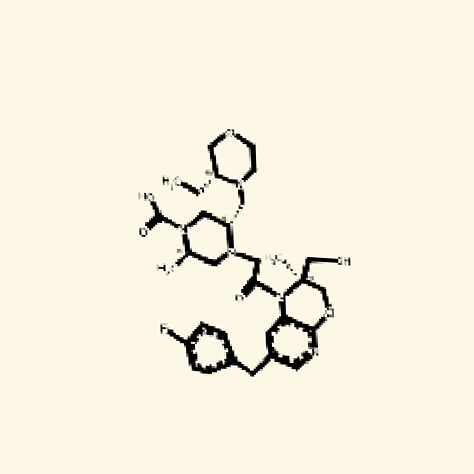 CC[C@@H]1COCCN1C[C@H]1CN(C(=O)O)[C@H](C)CN1CC(=O)N1c2cc(Cc3ccc(F)cc3)cnc2OC[C@]1(C)CO